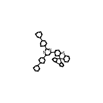 c1ccc(-c2ccc(-c3cc(-c4ccc5c(c4)C4(c6ccccc6S5)c5ccccc5-c5ccccc54)nc(-c4ccc(-c5ccccc5)cc4)n3)cc2)cc1